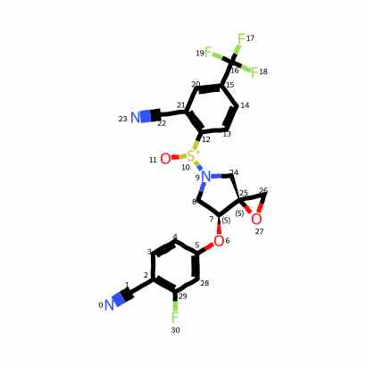 N#Cc1ccc(O[C@H]2CN([S+]([O-])c3ccc(C(F)(F)F)cc3C#N)C[C@]23CO3)cc1F